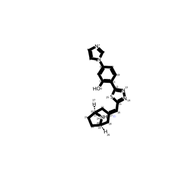 Oc1cc(-n2ccnc2)ccc1-c1nnc(/C=C2/C[C@H]3CC[C@@H](C2)N3)s1